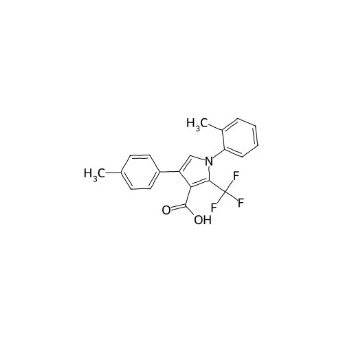 Cc1ccc(-c2cn(-c3ccccc3C)c(C(F)(F)F)c2C(=O)O)cc1